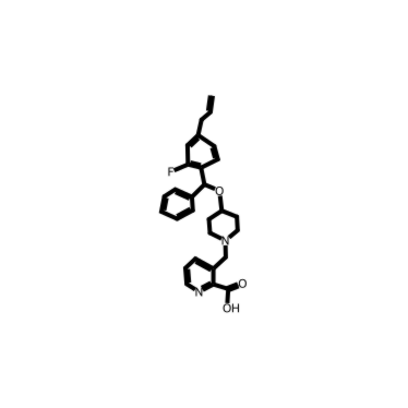 C=CCc1ccc(C(OC2CCN(Cc3cccnc3C(=O)O)CC2)c2ccccc2)c(F)c1